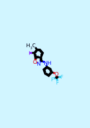 Cc1ccc2c(Nc3cccc(OC(F)(F)F)c3)noc2c1I